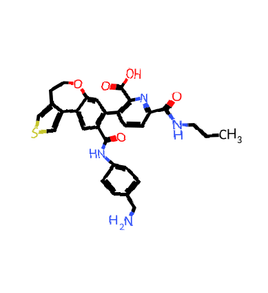 CCCNC(=O)c1ccc(-c2cc3c(cc2C(=O)Nc2ccc(CN)cc2)-c2cscc2CCO3)c(C(=O)O)n1